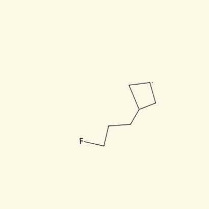 FCCCC1C[CH]C1